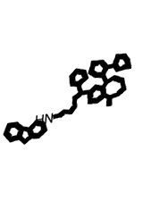 C=C1/C=C\C=C/C(c2ccccc2-c2ccccc2)c2cc(\C(=C/C=C\C=C\Nc3ccc4c(c3)-c3ccccc3C4)c3ccccc3)ccc21